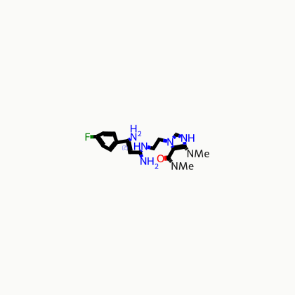 CNC(=O)C1=C(NC)NCN1CCNC(N)/C=C(\N)c1ccc(F)cc1